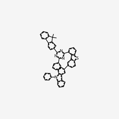 CC1(C)c2ccccc2-c2ccc(-c3nc(-c4ccccc4)nc(-c4cccc5sc6ccc(-c7ccc8c(c7)c7ccccc7n8-c7ccccc7)cc6c45)n3)cc21